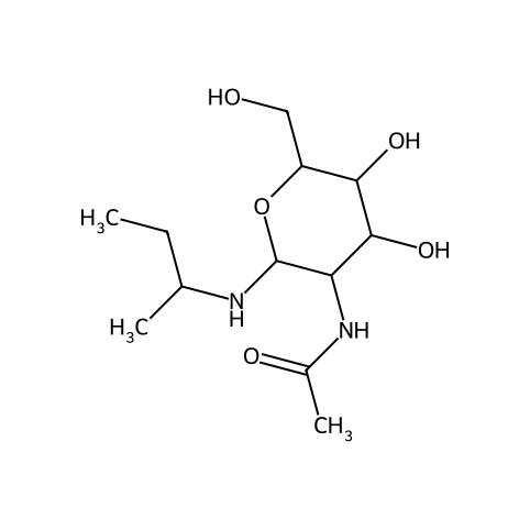 CCC(C)NC1OC(CO)C(O)C(O)C1NC(C)=O